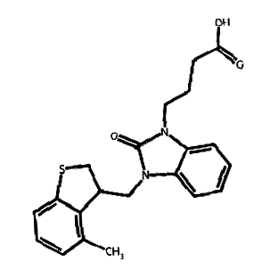 Cc1cccc2c1C(Cn1c(=O)n(CCCC(=O)O)c3ccccc31)CS2